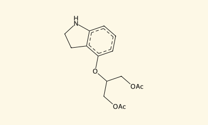 CC(=O)OCC(COC(C)=O)Oc1cccc2c1CCN2